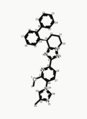 COc1nc(-c2nc3n(n2)CCC[C@@H]3c2ccccc2-c2ccccc2)ccc1-n1cnc(C)c1